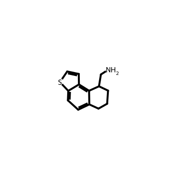 NCC1CCCc2ccc3sccc3c21